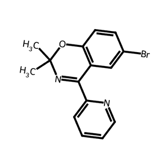 CC1(C)N=C(c2ccccn2)c2cc(Br)ccc2O1